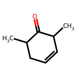 CC1C=CCC(C)C1=O